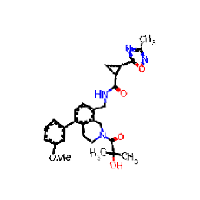 COc1cccc(-c2ccc(CNC(=O)C3CC3c3nc(C)no3)c3c2CCN(C(=O)C(C)(C)O)C3)c1